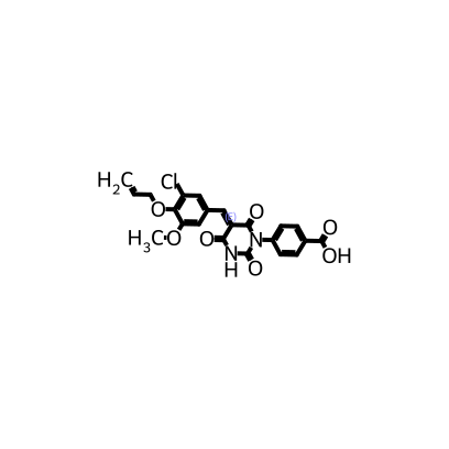 C=CCOc1c(Cl)cc(/C=C2\C(=O)NC(=O)N(c3ccc(C(=O)O)cc3)C2=O)cc1OC